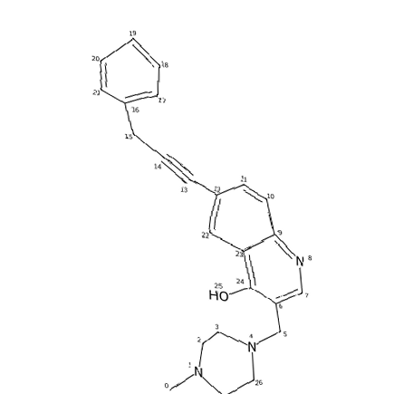 CN1CCN(Cc2cnc3ccc(C#CCc4ccccc4)cc3c2O)CC1